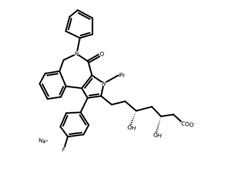 CC(C)n1c(CC[C@@H](O)C[C@@H](O)CC(=O)[O-])c(-c2ccc(F)cc2)c2c1C(=O)N(c1ccccc1)Cc1ccccc1-2.[Na+]